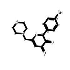 O=C1C=C(CN2CCOCC2)OC(c2ccc(O)cc2)C1=O